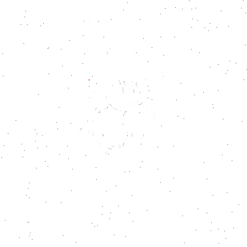 CO[Si]1(c2ccccc2)O[Si](C)(CCCOCC2CO2)O[Si]2(c3ccccc3)O[Si]3(c4ccccc4)O[SiH](c4ccccc4)O[Si]4(c5ccccc5)O[Si](C)(CCCOCC5CO5)O[Si](c5ccccc5)(O3)O[Si](c3ccccc3)(O2)O[Si](c2ccccc2)(O1)O4